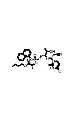 CCCCOC(=O)[C@H](C)NP(=O)(OC[C@@H](O[C@H](CC#N)n1ccc(=O)[nH]c1=O)C(C)O)Oc1cccc2ccccc12